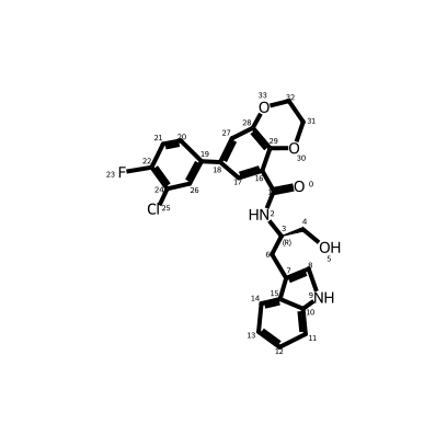 O=C(N[C@@H](CO)Cc1c[nH]c2ccccc12)c1cc(-c2ccc(F)c(Cl)c2)cc2c1OCCO2